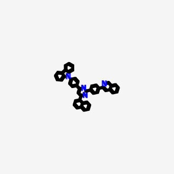 c1ccc2cc(-c3ccc(-c4nc(-c5ccc(-n6c7ccccc7c7ccccc76)cc5)cc(-c5cccc6ccccc56)n4)cc3)ncc2c1